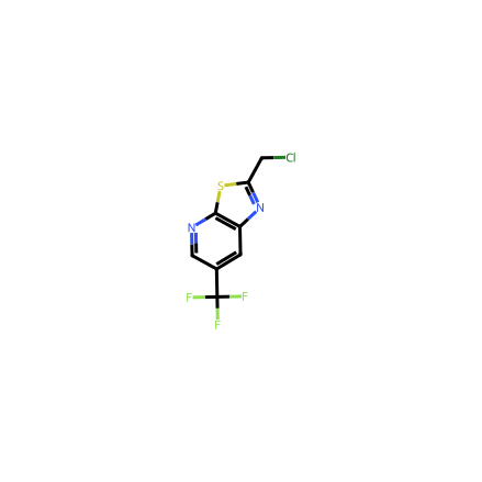 FC(F)(F)c1cnc2sc(CCl)nc2c1